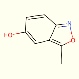 Cc1onc2ccc(O)cc12